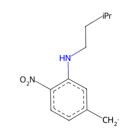 [CH2]c1ccc([N+](=O)[O-])c(NCCC(C)C)c1